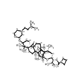 CC(C)[C@@H](OC(=O)N1CCC1)[C@H]1C[C@@H](C)[C@H]2[C@H](O1)[C@H](O)[C@@]1(C)[C@@H]3CC[C@H]4C(C)(C)C(O[C@H]5CN(CCN(C)C)CCO5)CC[C@@]45C[C@@]35CC[C@]21C